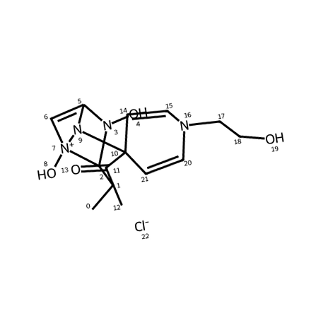 CCC1N(O)C2=C[N+]1(O)N2C1(C(C)=O)C=CN(CCO)C=C1.[Cl-]